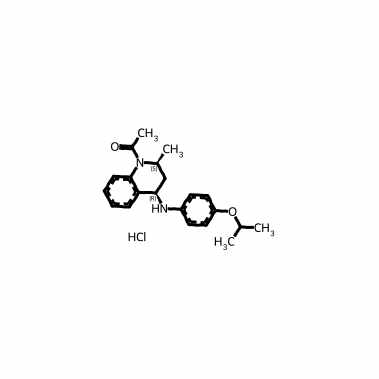 CC(=O)N1c2ccccc2[C@H](Nc2ccc(OC(C)C)cc2)C[C@@H]1C.Cl